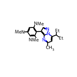 [CH2]CC(CC)c1cc(C)nc2c(-c3c(NC)cc(NC)cc3NC)cnn12